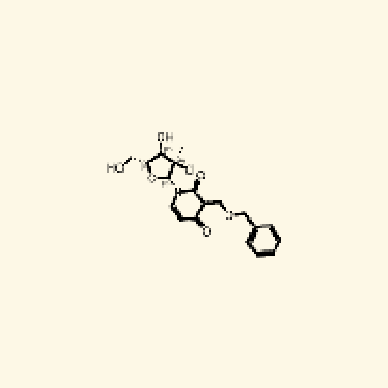 C[C@@]1(Cl)[C@H](O)[C@@H](CO)O[C@H]1N1C=CC(=O)C(COCc2ccccc2)C1=O